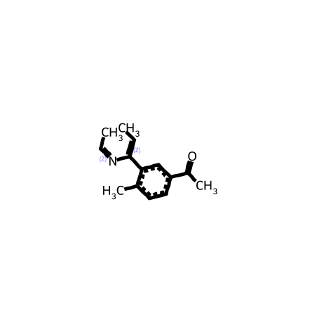 C/C=N\C(=C/C)c1cc(C(C)=O)ccc1C